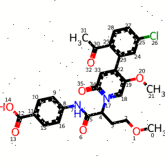 COCCC(C(=O)Nc1ccc(C(=O)O)cc1)n1cc(OC)c(-c2cc(Cl)ccc2C(C)=O)cc1=O